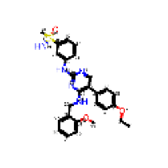 CCOc1ccc(-c2cnc(Nc3cccc(S(C)(=N)=O)c3)nc2NCc2ccccc2OC)cc1